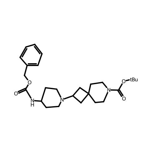 CC(C)(C)OC(=O)N1CCC2(CC1)CC(N1CCC(NC(=O)OCc3ccccc3)CC1)C2